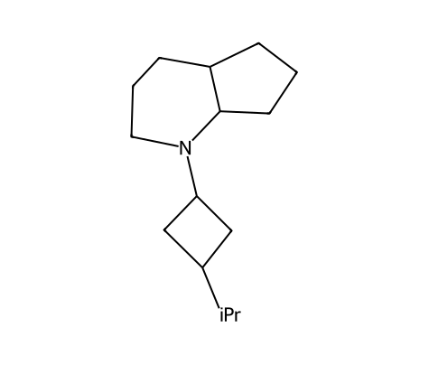 CC(C)C1CC(N2CCCC3CCCC32)C1